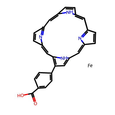 O=C(O)c1ccc(-c2cc3cc4nc(cc5ccc(cc6nc(cc2[nH]3)C=C6)[nH]5)C=C4)cc1.[Fe]